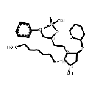 CC(C)(C)[Si](C)(C)O[C@@H](CC[C@H]1C(OC2CCCCO2)C[C@H](O)[C@@H]1CCCCCCC(=O)O)COc1ccccc1